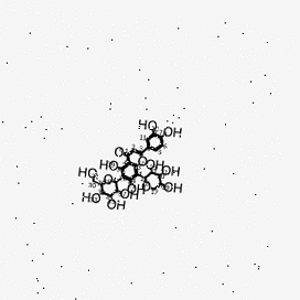 O=c1cc(-c2ccc(O)c(O)c2)oc2c([C@@H]3OC[C@H](O)[C@H](O)[C@H]3O)c(O)c([C@@H]3O[C@H](CO)[C@@H](O)[C@H](O)[C@H]3O)c(O)c12